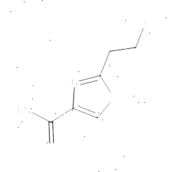 CC(C)(C)CCc1nc(C(N)=O)cs1